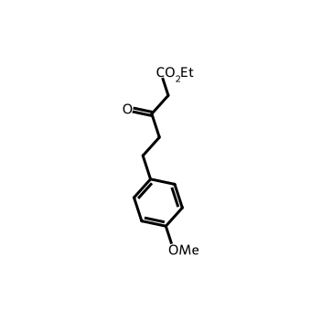 CCOC(=O)CC(=O)CCc1ccc(OC)cc1